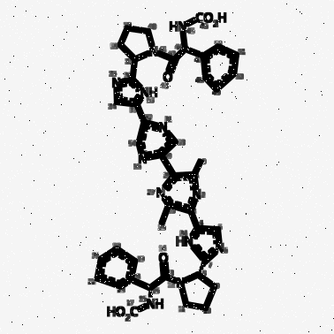 Cc1nc(-c2cnc([C@@H]3CCCN3C(=O)[C@H](NC(=O)O)c3ccccc3)[nH]2)c(C)nc1-c1cnc(-c2cnc(C3CCCN3C(=O)C(NC(=O)O)c3ccccc3)[nH]2)cn1